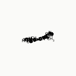 COc1cc2nn(C3CCC(CCN4CCN(c5cccc6c5c(C)nn6C5CCC(=O)NC5=O)CC4)CC3)cc2cc1C(=O)Nc1cnc2cccnn12